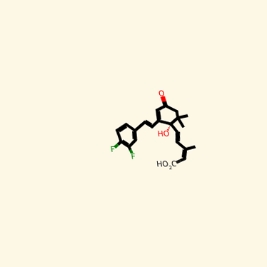 CC(=C/C(=O)O)/C=C/[C@@]1(O)C(/C=C/c2ccc(F)c(F)c2)=CC(=O)CC1(C)C